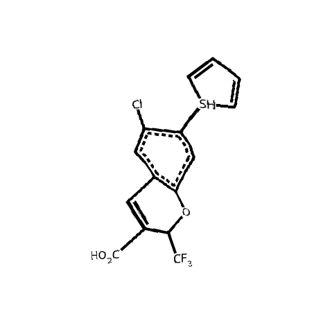 O=C(O)C1=Cc2cc(Cl)c([SH]3C=CC=C3)cc2OC1C(F)(F)F